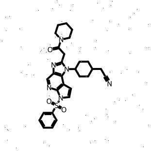 N#CCC1CCC(n2c(CC(=O)N3CCCCC3)nc3cnc4c(ccn4S(=O)(=O)c4ccccc4)c32)CC1